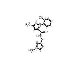 Cn1ccc(CNC(=O)c2cc(C(F)(F)F)nn2-c2ccccc2Cl)n1